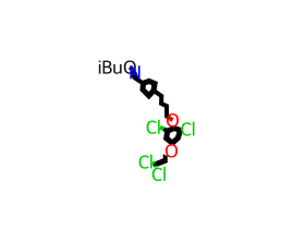 CC(C)CO/N=C/c1ccc(CCCCOc2c(Cl)cc(OCC=C(Cl)Cl)cc2Cl)cc1